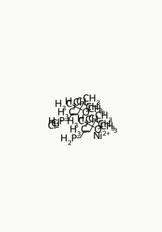 COC(C=CCP)(C(C)(C)C)C(C)(C)C.COC(C=CCP)(C(C)(C)C)C(C)(C)C.[Cl-].[Cl-].[Ni+2]